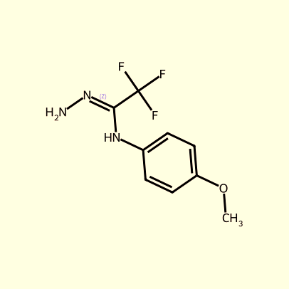 COc1ccc(N/C(=N\N)C(F)(F)F)cc1